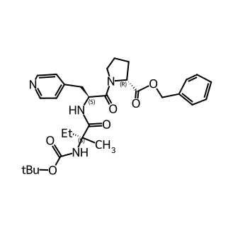 CC[C@](C)(NC(=O)OC(C)(C)C)C(=O)N[C@@H](Cc1ccncc1)C(=O)N1CCC[C@@H]1C(=O)OCc1ccccc1